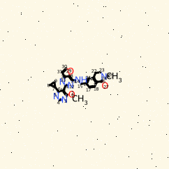 COc1ncnc(C2CC2)c1-c1nc(NCc2ccc3c(c2)CCN(C)C3=O)c2occc2n1